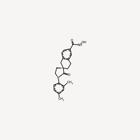 Cc1ccc(N2CC[C@@]3(CCc4cc(C(=O)NO)ccc4C3)C2=O)c(C)c1